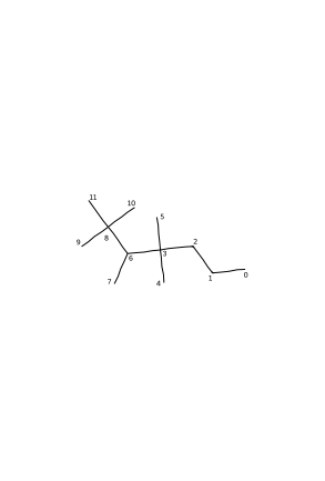 CCCC(C)(C)C(C)C(C)(C)C